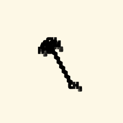 C=C(O)C1([Si](C)(C)CCCCCCCCCCCCCCCC)CCCCO1